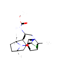 COc1ccc(N2[C@H]3CC[C@@H]2c2c(NC(=O)OC(C)(C)C)cnc(F)c2C3)cc1